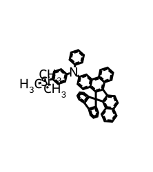 C[Si](C)(C)c1ccc(N(c2ccccc2)c2ccc3c4c(c5ccccc5c3c2)-c2ccc3ccccc3c2C42c3ccccc3-c3ccccc32)cc1